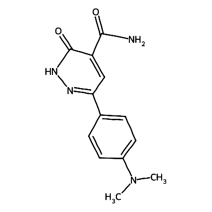 CN(C)c1ccc(-c2cc(C(N)=O)c(=O)[nH]n2)cc1